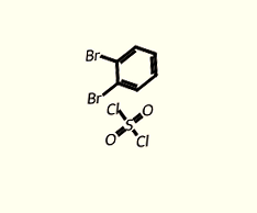 Brc1ccccc1Br.O=S(=O)(Cl)Cl